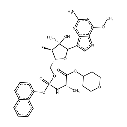 COc1nc(N)nc2c1ncn2C1O[C@H](COP(=O)(N[C@@H](C)C(=O)OC2CCOCC2)Oc2cccc3ccccc23)[C@@H](F)[C@@]1(C)O